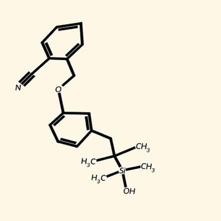 CC(C)(Cc1cccc(OCc2ccccc2C#N)c1)[Si](C)(C)O